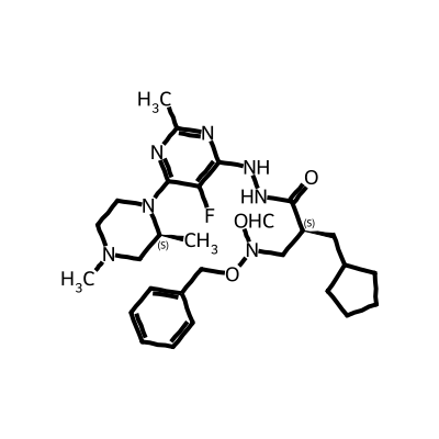 Cc1nc(NNC(=O)[C@@H](CC2CCCC2)CN(C=O)OCc2ccccc2)c(F)c(N2CCN(C)C[C@@H]2C)n1